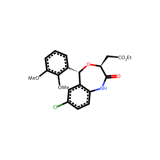 CCOC(=O)C[C@@H]1O[C@@H](c2cccc(OC)c2OC)c2cc(Cl)ccc2NC1=O